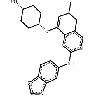 CC1C=C(O[C@H]2CC[C@@H](O)CC2)c2nc(Nc3ccc4scnc4c3)ncc2C1